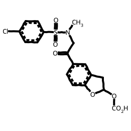 CN(CC(=O)c1ccc2c(c1)CC(OC(=O)O)O2)S(=O)(=O)c1ccc(Cl)cc1